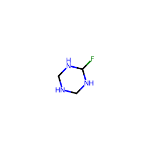 FC1NCNCN1